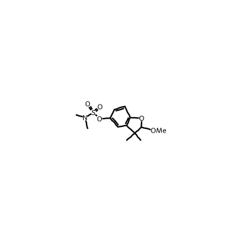 COC1Oc2ccc(OS(=O)(=O)N(C)C)cc2C1(C)C